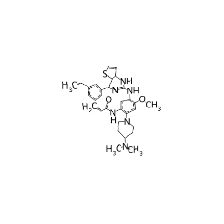 C=CC(=O)Nc1cc(NC2=NC(c3cccc(CC)c3)C3SC=CC3N2)c(OC)cc1N1CCC(N(C)C)CC1